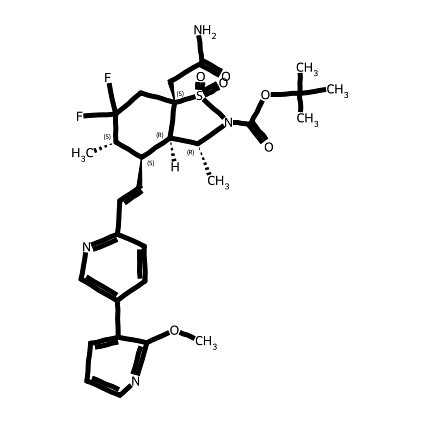 COc1ncccc1-c1ccc(C=C[C@@H]2[C@@H]3[C@@H](C)N(C(=O)OC(C)(C)C)S(=O)(=O)[C@@]3(CC(N)=O)CC(F)(F)[C@H]2C)nc1